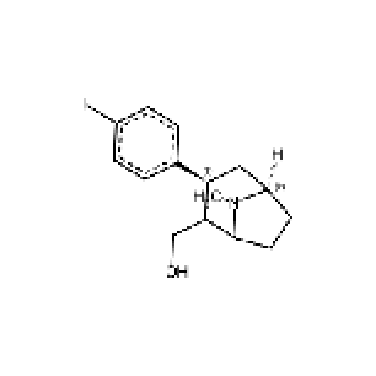 CN1C2CC[C@@H]1C[C@H](c1ccc(I)cc1)C2CO